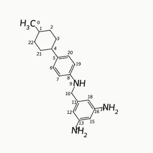 CC1CCC(c2ccc(NCc3cc(N)cc(N)c3)cc2)CC1